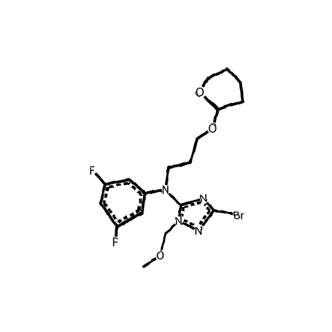 COCn1nc(Br)nc1N(CCCOC1CCCCO1)c1cc(F)cc(F)c1